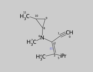 C#C/C(=C(/C)C(C)C)N(C)C1CC1C